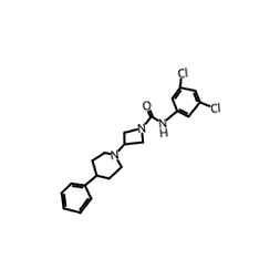 O=C(Nc1cc(Cl)cc(Cl)c1)N1CC(N2CCC(c3ccccc3)CC2)C1